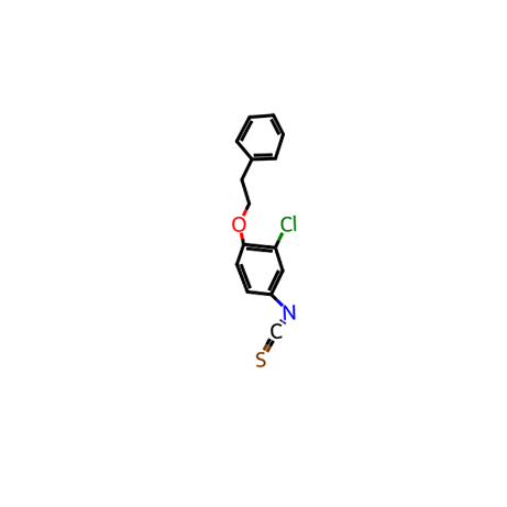 S=C=Nc1ccc(OCCc2ccccc2)c(Cl)c1